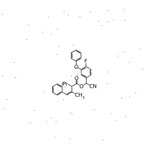 CC(=Cc1ccccc1)C(C(=O)OC(C#N)c1ccc(F)c(Oc2ccccc2)c1)C(C)C